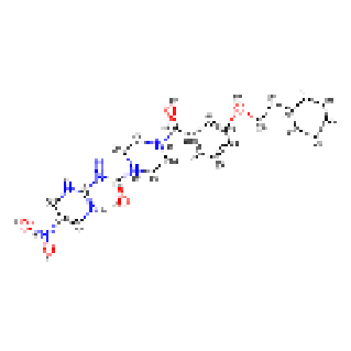 O=C(Nc1ncc([N+](=O)[O-])cn1)N1CCN(C(=O)c2cccc(OCCC3CCCCC3)c2)CC1